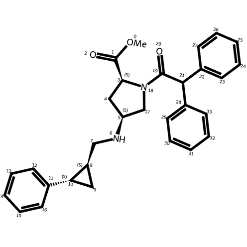 COC(=O)[C@@H]1C[C@H](NC[C@H]2C[C@@H]2c2ccccc2)CN1C(=O)C(c1ccccc1)c1ccccc1